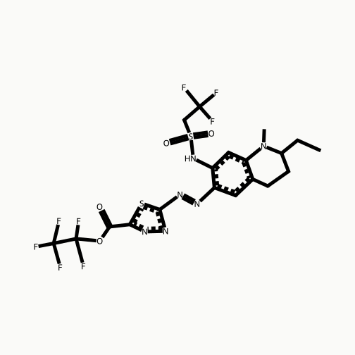 CCC1CCc2cc(N=Nc3nnc(C(=O)OC(F)(F)C(F)(F)F)s3)c(NS(=O)(=O)CC(F)(F)F)cc2N1C